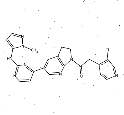 Cn1nccc1Nc1nccc(-c2cnc3c(c2)CCN3C(=O)Cc2ccncc2Cl)n1